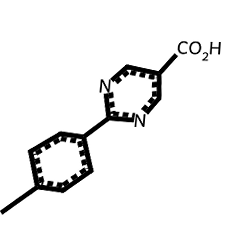 Cc1ccc(-c2ncc(C(=O)O)cn2)cc1